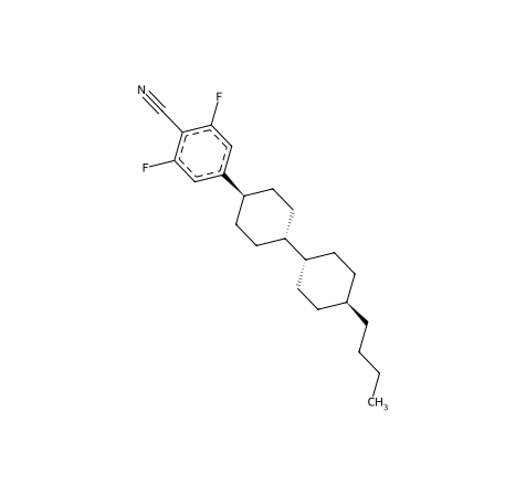 CCCC[C@H]1CC[C@H]([C@H]2CC[C@H](c3cc(F)c(C#N)c(F)c3)CC2)CC1